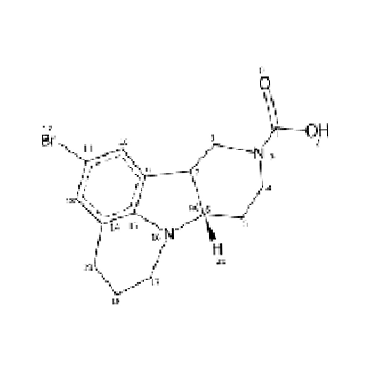 O=C(O)N1CC[C@H]2C(C1)c1cc(Br)cc3c1N2CCC3